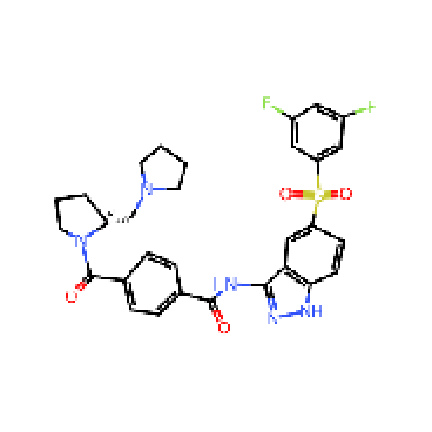 O=C(Nc1n[nH]c2ccc(S(=O)(=O)c3cc(F)cc(F)c3)cc12)c1ccc(C(=O)N2CCC[C@@H]2CN2CCCC2)cc1